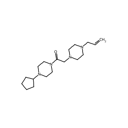 C=CCN1CCN(CC(=O)N2CCN(C3CCCC3)CC2)CC1